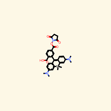 CN(C)c1ccc2c(c1)[Si](C)(C)C1=CC(N(C)C)C=CC1=C2c1cc(C(=O)ON2C(=O)CCC2=O)ccc1C(=O)O